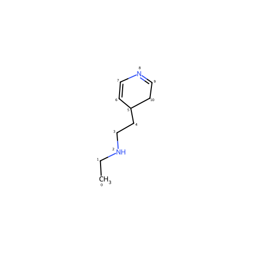 CCNCCC1C=CN=CC1